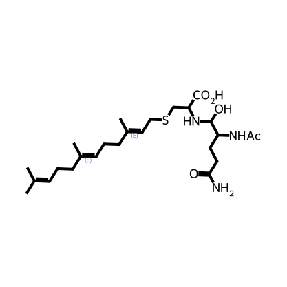 CC(=O)NC(CCC(N)=O)C(O)NC(CSC/C=C(\C)CC/C=C(\C)CCC=C(C)C)C(=O)O